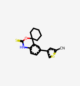 N#Cc1cc(-c2ccc3c(c2)C2(CCCCC2)OC(=S)N3)cs1